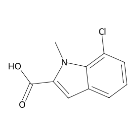 Cn1c(C(=O)O)cc2cccc(Cl)c21